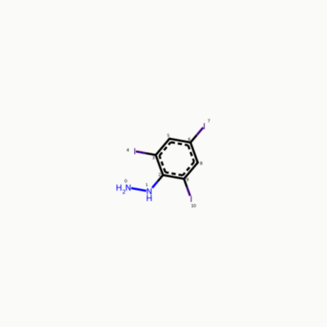 NNc1c(I)cc(I)cc1I